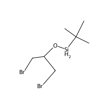 CC(C)(C)[SiH2]OC(CBr)CBr